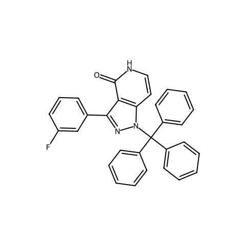 O=c1[nH]ccc2c1c(-c1cccc(F)c1)nn2C(c1ccccc1)(c1ccccc1)c1ccccc1